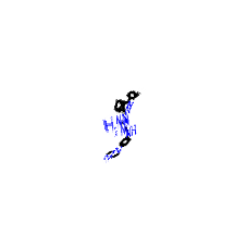 CN1CCN(c2ccc(Nc3nc(N)n(-c4nnc(-c5ccccc5)c5c4C4CCC5C4)n3)cc2)CC1